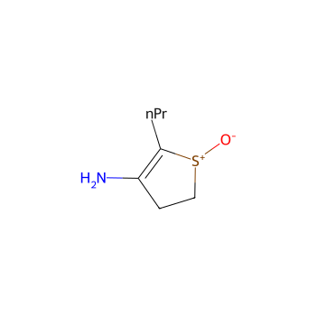 CCCC1=C(N)CC[S+]1[O-]